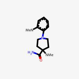 CNc1ccccc1N1CCC(NC)(C(N)=O)CC1